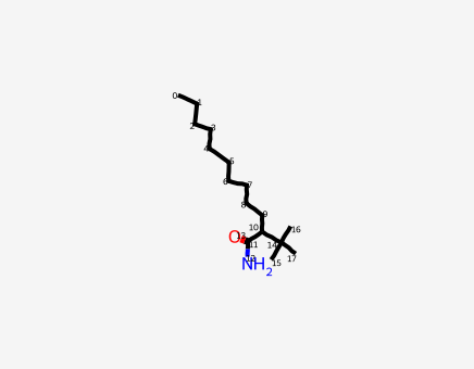 CCCCCCCCCCC(C(N)=O)C(C)(C)C